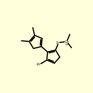 CC1=C(C)CC(C2=[C]([Zr][GeH]([CH3])[CH3])CC=C2C(C)C)=C1